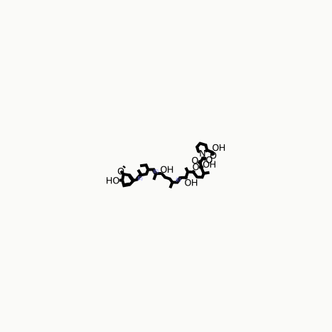 CCC(/C=C(\C)C(O)CCC(C)/C=C/C(O)C(C)C1CCC(C)C(O)(C(=O)C(=O)N2CCCCC2C(=O)O)O1)C/C(C)=C/C1=CC(OC)C(O)C=C1